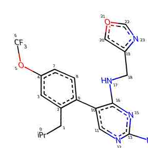 CC(C)Cc1cc(OC(F)(F)F)ccc1-c1cnc(N)nc1NCc1cocn1